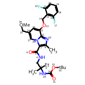 CCC(C)(CNC(=O)c1c(C)nc2c(OCc3c(F)cccc3F)cc(COC)cn12)NC(=O)OC(C)(C)C